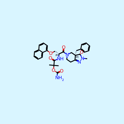 CN1N=C2CCN(C(=O)[C@@H](COc3cccc4ccccc34)NC(=O)C(C)(C)OC(N)=O)C[C@@]2(Cc2ccccc2)C1=O